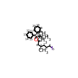 C[C@@H](CCCI)CCO[Si](c1ccccc1)(c1ccccc1)C(C)(C)C